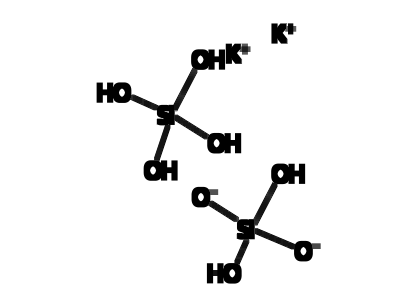 O[Si](O)(O)O.[K+].[K+].[O-][Si]([O-])(O)O